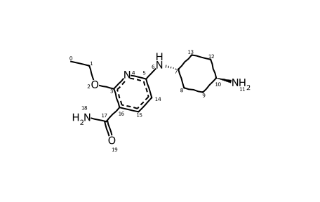 CCOc1nc(N[C@H]2CC[C@H](N)CC2)ccc1C(N)=O